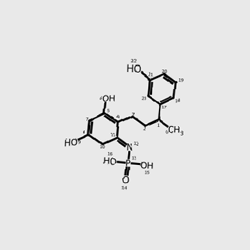 CC(CCC1=C(O)C=C(O)CC1=NP(=O)(O)O)c1cccc(O)c1